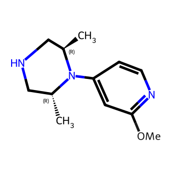 COc1cc(N2[C@H](C)CNC[C@H]2C)ccn1